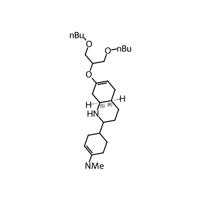 CCCCOCC(COCCCC)OC1=CC[C@H]2CCC(C3CC=C(NC)CC3)N[C@H]2C1